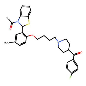 CCC(=O)N1c2ccccc2SC1c1cc(OC)ccc1OCCCCN1CCC(C(=O)c2ccc(F)cc2)CC1